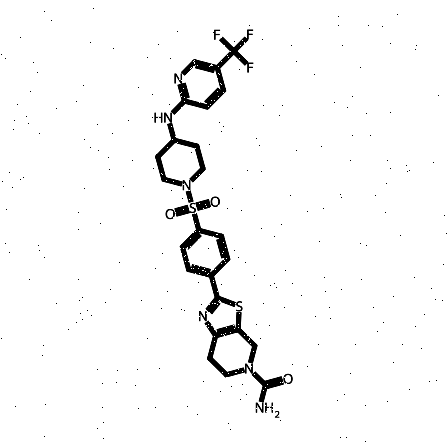 NC(=O)N1CCc2nc(-c3ccc(S(=O)(=O)N4CCC(Nc5ccc(C(F)(F)F)cn5)CC4)cc3)sc2C1